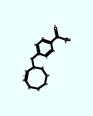 CC(C)(C)C(=O)c1ccc(CC2/C=C\CCCCC2)cc1